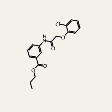 CCCOC(=O)c1cccc(NC(=O)COc2ccccc2Cl)c1